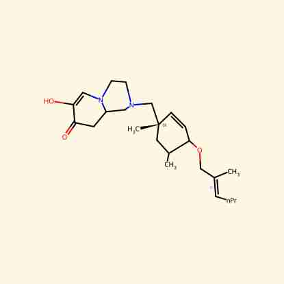 CCC/C=C(\C)COC1C=C[C@@](C)(CN2CCN3C=C(O)C(=O)CC3C2)CC1C